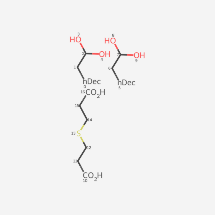 CCCCCCCCCCCC(O)O.CCCCCCCCCCCC(O)O.O=C(O)CCSCCC(=O)O